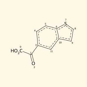 O=C(O)C(=O)c1ccc2sccc2c1